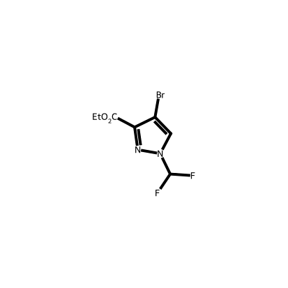 CCOC(=O)c1nn(C(F)F)cc1Br